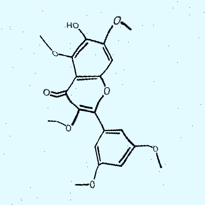 COc1cc(OC)cc(-c2oc3cc(OC)c(O)c(OC)c3c(=O)c2OC)c1